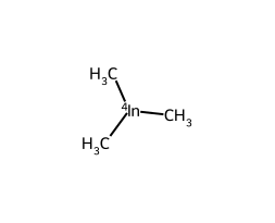 [CH3][4In]([CH3])[CH3]